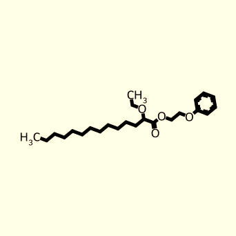 CCCCCCCCCCCCC(OCC)C(=O)OCCOc1ccccc1